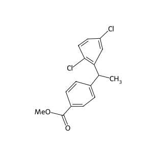 COC(=O)c1ccc(C(C)c2cc(Cl)ccc2Cl)cc1